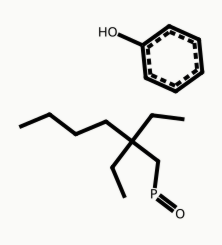 CCCCC(CC)(CC)CP=O.Oc1ccccc1